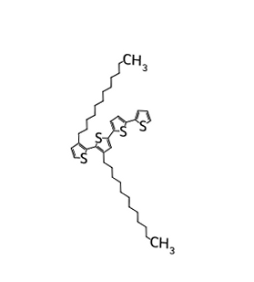 CCCCCCCCCCCCc1ccsc1-c1sc(-c2ccc(-c3cccs3)s2)cc1CCCCCCCCCCCC